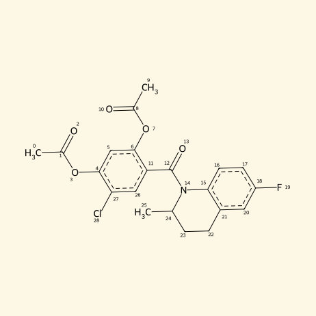 CC(=O)Oc1cc(OC(C)=O)c(C(=O)N2c3ccc(F)cc3CCC2C)cc1Cl